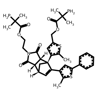 Cc1sc(-c2ccccc2)cc1C1=C[C@H]2C[C@]1(c1cc(COC(=O)C(C)(C)P)sc1C)[C@H]1C(=O)N(CCOC(=O)C(C)(C)P)C(=O)[C@@H]21